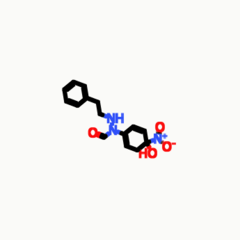 O=CN(NCCc1ccccc1)C1=CCC(O)([N+](=O)[O-])C=C1